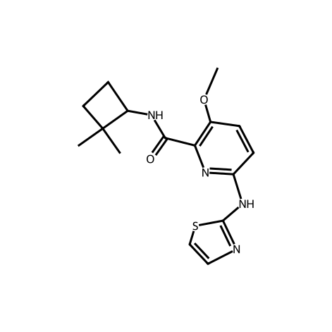 COc1ccc(Nc2nccs2)nc1C(=O)NC1CCC1(C)C